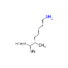 CCCCCCCC(CCC)C(C)CCCCCN